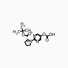 CC(C)(C)OC(=O)[C@H]1CCCN1c1ncc(OC(=O)O)cn1